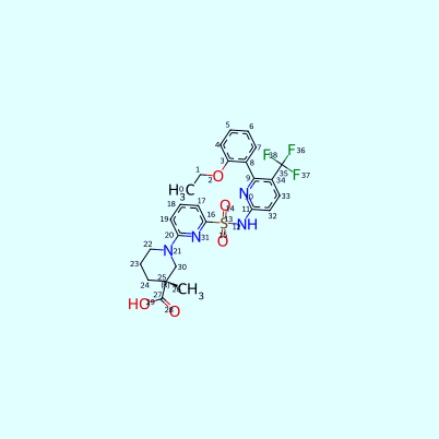 CCOc1ccccc1-c1nc(NS(=O)(=O)c2cccc(N3CCC[C@@](C)(C(=O)O)C3)n2)ccc1C(F)(F)F